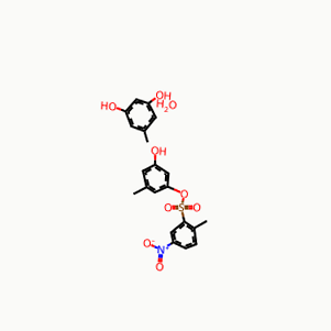 Cc1cc(O)cc(O)c1.Cc1cc(O)cc(OS(=O)(=O)c2cc([N+](=O)[O-])ccc2C)c1.O